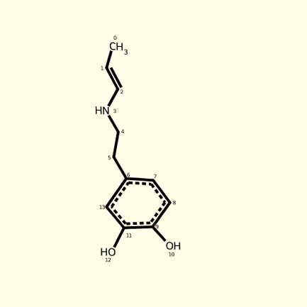 CC=CNCCc1ccc(O)c(O)c1